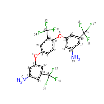 Nc1cc(Oc2ccc(Oc3cc(N)cc(C(F)(F)F)c3)c(C(F)(F)F)c2)cc(C(F)(F)F)c1